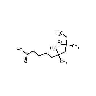 CCC(C)(C)CC(C)(C)CCCCC(=O)O